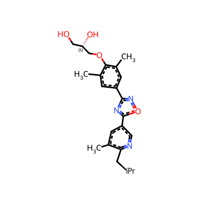 Cc1cc(-c2nc(-c3cc(C)c(OC[C@@H](O)CO)c(C)c3)no2)cnc1CC(C)C